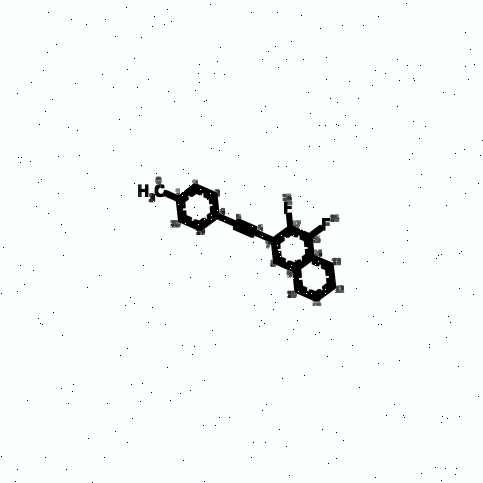 Cc1ccc(C#Cc2cc3ccccc3c(F)c2F)cc1